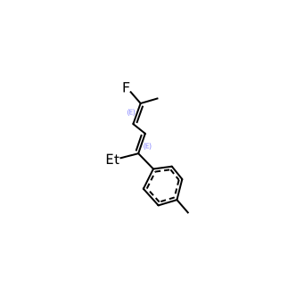 CC/C(=C\C=C(/C)F)c1ccc(C)cc1